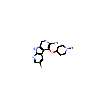 CCN1CCC(OC2=C(C#N)NCc3[nH]c4ncc(Br)cc4c32)CC1